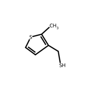 Cc1sccc1CS